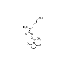 CC(ON=[N+]([O-])N(C)CCCCO)N1C(=O)CCC1=O